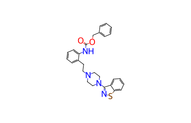 O=C(Nc1ccccc1CCN1CCN(c2nsc3ccccc23)CC1)OCc1ccccc1